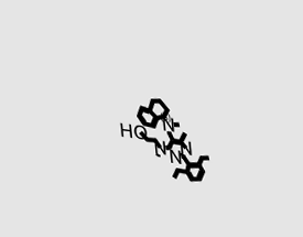 CCc1cccc(CC)c1-c1nc(C)c(CN(C)[C@H]2CCCc3ccccc32)c(N(C)CCO)n1